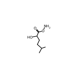 CC(C)CCC(O)C(=O)ON